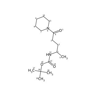 CC(CCC(=O)N1CCCCC1)NC(=O)OC(C)(C)C